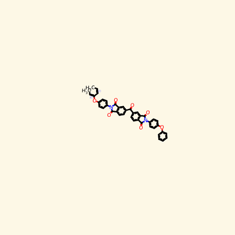 C/C=C\C(=C/C)Oc1ccc(N2C(=O)c3ccc(C(=O)c4ccc5c(c4)C(=O)N(c4ccc(Oc6ccccc6)cc4)C5=O)cc3C2=O)cc1